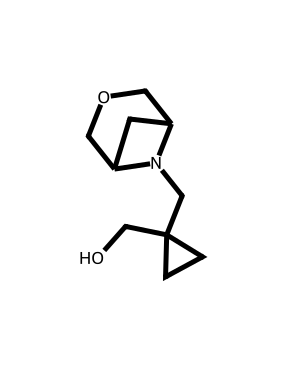 OCC1(CN2C3COCC2C3)CC1